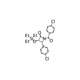 CC[Si](CC)(CC)O[C@H]1C(=O)N(C(=O)c2ccc(Cl)cc2)[C@H]1c1ccc(Cl)cc1